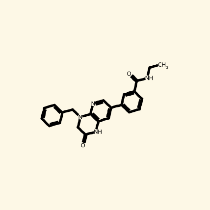 CCNC(=O)c1cccc(-c2cnc3c(c2)NC(=O)CN3Cc2ccccc2)c1